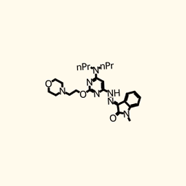 CCCN(CCC)c1cc(N/N=C2/C(=O)N(C)c3ccccc32)nc(OCCN2CCOCC2)n1